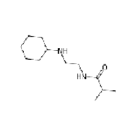 CC(C)C(=O)NCCNC1CCCCC1